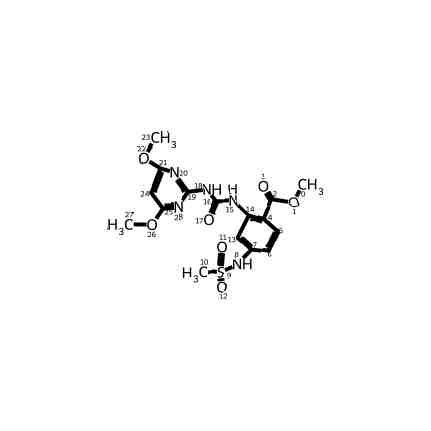 COC(=O)c1ccc(NS(C)(=O)=O)cc1NC(=O)Nc1nc(OC)cc(OC)n1